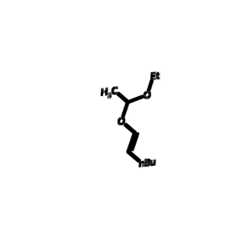 CCCCC=COC(C)OCC